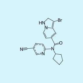 N#Cc1ccc(N(C(=O)C2=CC3=C(Br)CNN3C=C2)C2CCCC2)nc1